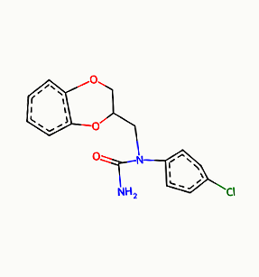 NC(=O)N(CC1COc2ccccc2O1)c1ccc(Cl)cc1